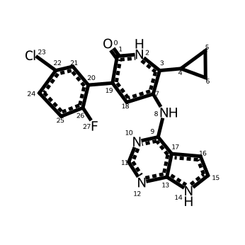 O=c1[nH]c(C2CC2)c(Nc2ncnc3[nH]ccc23)cc1-c1cc(Cl)ccc1F